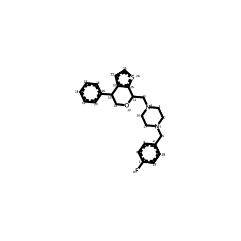 Fc1ccc(CN2CCN(CC3OCC(c4ccccc4)c4ccsc43)CC2)cc1